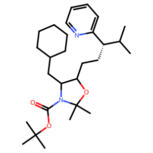 CC(C)[C@H](CCC1OC(C)(C)N(C(=O)OC(C)(C)C)C1CC1CCCCC1)c1ccccn1